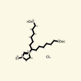 CCCCCCCCCCCCCCCCC(CCCCCCCCCCCCCCCC)[N+]1=CN(CC)CC1.[Cl-]